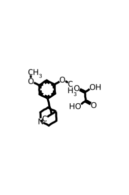 COc1cc(OC)cc(C2CN3CCC2CC3)c1.O=C(O)C(=O)O